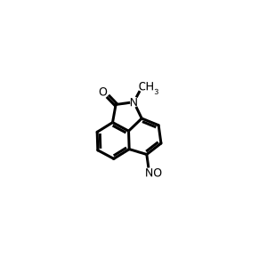 CN1C(=O)c2cccc3c(N=O)ccc1c23